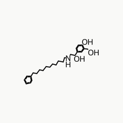 OCc1cc(C(O)CNCCCCCCCCCCCc2ccccc2)ccc1O